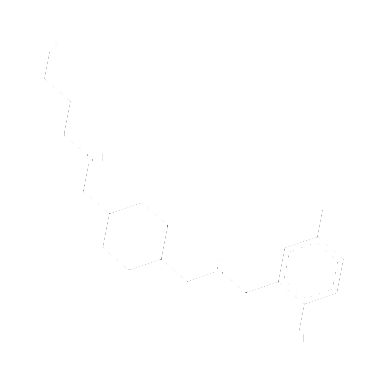 Cc1ccc(C)c(CNCC2CCC(CNCCCO)CC2)c1